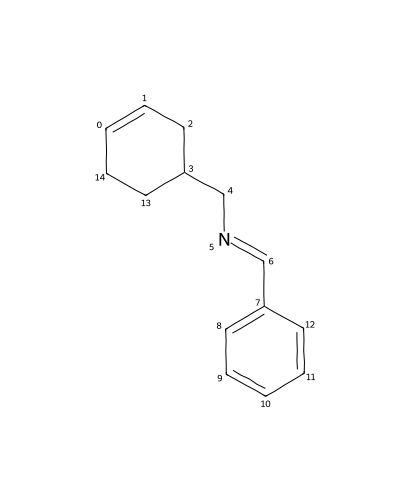 C1=CCC(CN=Cc2ccccc2)CC1